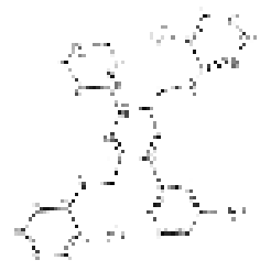 O=[N+]([O-])c1cccc(-c2cc(COc3ccccc3C(F)(F)F)c(C3=CCNCC3)cc2COc2ccccc2C(F)(F)F)c1